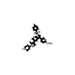 COc1ccc(-c2cn(S(=O)(=O)c3ccc(C)cc3)c3ncc(-c4cnn(C5CCNCC5)c4C)cc23)cn1